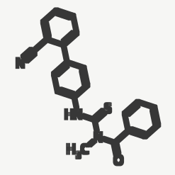 CN(C(=O)c1ccccc1)C(=S)Nc1ccc(-c2ccccc2C#N)cc1